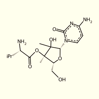 CC(C)[C@H](N)C(=O)O[C@]1(C)[C@@H](CO)O[C@@H](n2ccc(N)nc2=O)C1(C)O